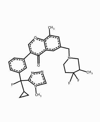 Cc1cc(CN2CCC(F)(F)C(C)C2)cc2c(=O)c(-c3cccc(C(F)(c4nncn4C)C4CC4)c3)coc12